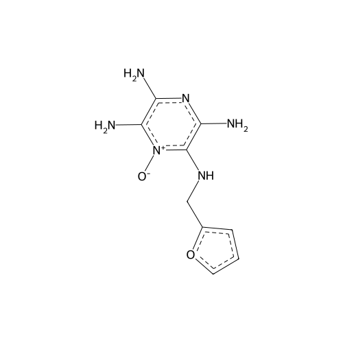 Nc1nc(N)c(NCc2ccco2)[n+]([O-])c1N